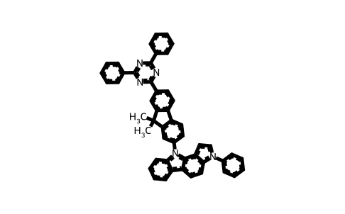 CC1(C)c2cc(-c3nc(-c4ccccc4)nc(-c4ccccc4)n3)ccc2-c2ccc(-n3c4ccccc4c4ccc5c(ccn5-c5ccccc5)c43)cc21